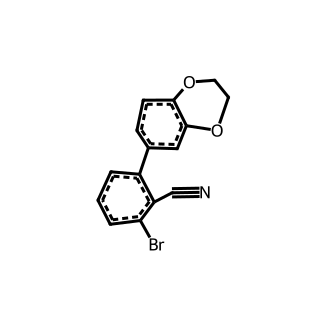 N#Cc1c(Br)cccc1-c1ccc2c(c1)OCCO2